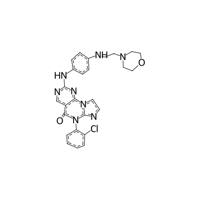 O=c1c2cnc(Nc3ccc(NCCN4CCOCC4)cc3)nc2n2ccnc2n1-c1ccccc1Cl